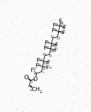 C=CC(=O)OC(F)CC(F)(F)C(F)(F)CCC(F)(F)C(F)(F)CCC(F)(F)C(F)(F)F